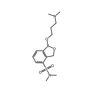 CN(C)CCCOB1OCc2c1cccc2S(=O)(=O)N(C)C